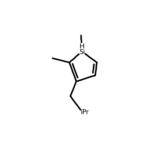 CC1=C(CC(C)C)C=C[SiH]1C